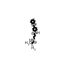 CC(C)C(=O)NCCCC(=O)Nc1ccc(-c2nc3ccccc3s2)cc1